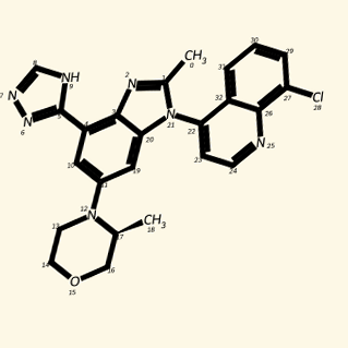 Cc1nc2c(-c3nnc[nH]3)cc(N3CCOC[C@@H]3C)cc2n1-c1ccnc2c(Cl)cccc12